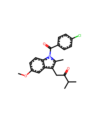 COc1ccc2c(c1)c(CC(=O)C(C)C)c(C)n2C(=O)c1ccc(Cl)cc1